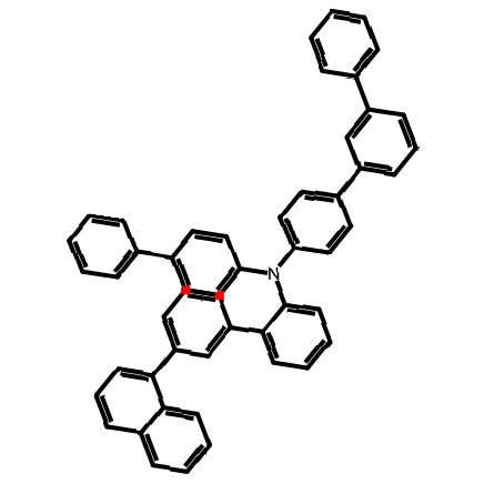 c1ccc(-c2ccc(N(c3ccc(-c4cccc(-c5ccccc5)c4)cc3)c3ccccc3-c3cccc(-c4cccc5ccccc45)c3)cc2)cc1